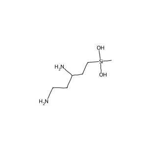 C[Si](O)(O)CCC(N)CCN